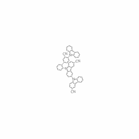 N#Cc1ccc2c(c1)c1ccccc1n2-c1ccc2c(c1)c1cc(C#N)ccc1n2-c1ccccc1-c1ccc(-n2c3ccccc3c3ccccc32)c(C#N)c1